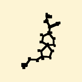 CC(C)(C)OC(=O)N1CCC2(CCC(CCO)C2)CC1